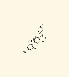 Cc1cc(C#N)cc(O)c1-c1cc2c(nn1)N([C@@H]1CCN(C)C1)CCC2